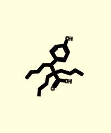 CCCCC(c1ccc(O)cc1)C(CCCC)(CCCC)C(=O)O